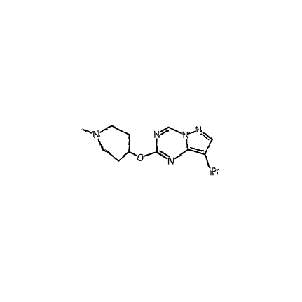 CC(C)c1cnn2cnc(OC3CCN(C)CC3)nc12